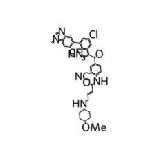 COC1CCC(NC/C=C/C(=O)Nc2ccc(C(=O)c3c[nH]c4c(-c5cc6ncn(C)c6cc5C(F)(F)F)cc(Cl)cc34)cc2C#N)CC1